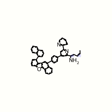 C/C=C\C=C(/N)c1cc(-c2ccc(-c3cc4c(oc5cccc(-c6cccc7ccccc67)c54)c4ccccc34)cc2)cc(-c2ccccn2)n1